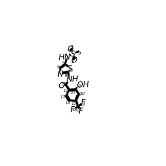 CS(=O)(=O)Nc1cnc(NC(=O)c2ccc(C(F)(F)F)cc2O)s1